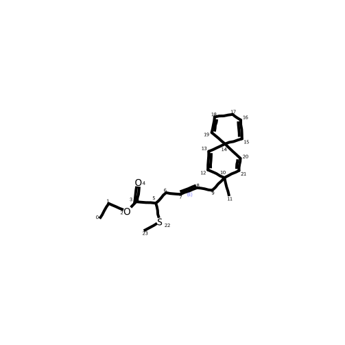 CCOC(=O)C(C/C=C/CC1(C)C=CC2(C=CCC=C2)C=C1)SC